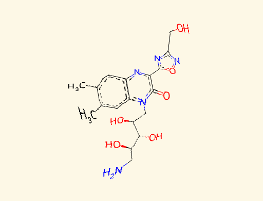 Cc1cc2nc(-c3nc(CO)no3)c(=O)n(C[C@H](O)[C@H](O)[C@H](O)CN)c2cc1C